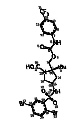 CC(C)(C)[C@@]1(COC(=O)Nc2ccc(C(F)(F)F)cc2)C[C@@H](NS(=O)(=O)c2cc(Br)ccc2Br)CN1C(=O)O